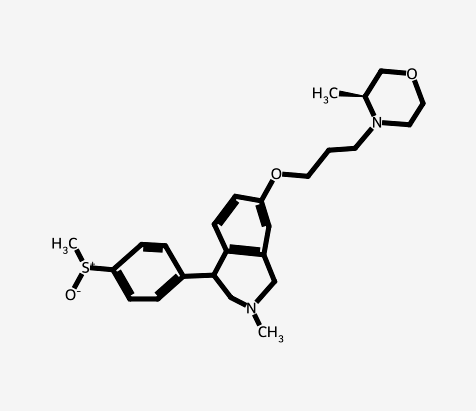 C[C@H]1COCCN1CCCOc1ccc2c(c1)CN(C)CC2c1ccc([S+](C)[O-])cc1